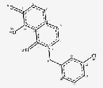 O=c1ccn2ncn(Cc3cccc(Cl)c3)c(=O)c2c1O